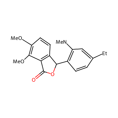 CCc1ccc(C2OC(=O)c3c2ccc(OC)c3OC)c(NC)c1